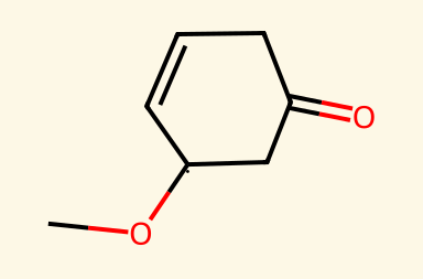 CO[C]1C=CCC(=O)C1